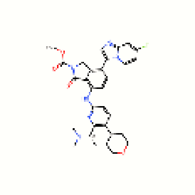 C[C@@H](c1nc(Nc2ccc(-c3cnc4cc(F)ccn34)c3c2C(=O)N(C(=O)OC(C)(C)C)C3)ccc1C1CCOCC1)N(C)C